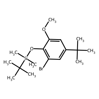 COc1cc(C(C)(C)C)cc(Br)c1O[Si](C)(C)C(C)(C)C